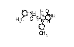 Cc1ccc(N2c3nc[nH]c(=O)c3NC2SCC(=O)Nc2cccc(C)c2)cc1